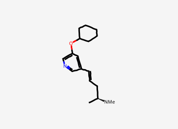 CN[C@@H](C)CC=Cc1cncc(OC2CCCCC2)c1